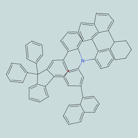 c1ccc(C2(c3ccccc3)c3ccccc3-c3ccc(-c4ccccc4N(c4cccc(-c5cccc6ccccc56)c4)c4ccccc4-c4cccc5cccc(C6CCCCC6)c45)cc32)cc1